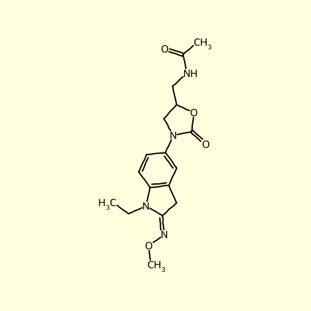 CCN1C(=NOC)Cc2cc(N3CC(CNC(C)=O)OC3=O)ccc21